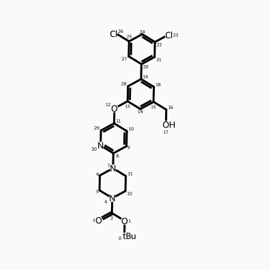 CC(C)(C)OC(=O)N1CCN(c2ccc(Oc3cc(CO)cc(-c4cc(Cl)cc(Cl)c4)c3)cn2)CC1